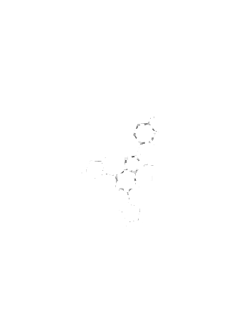 Br.Cn1c(-c2ccc(O)cc2)cc2c(N3CCCC3)nc(N3CCCC3)nc21